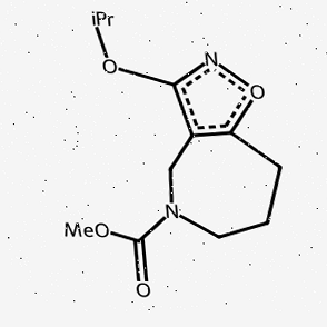 COC(=O)N1CCCc2onc(OC(C)C)c2C1